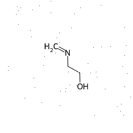 C=NCCO